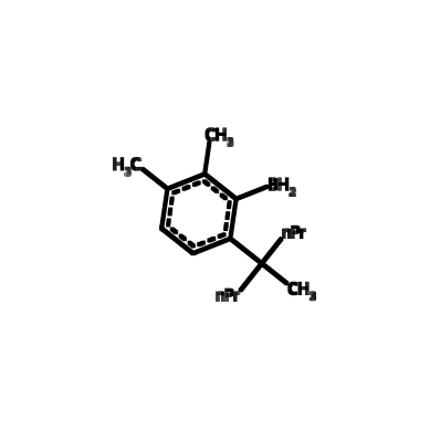 Bc1c(C(C)(CCC)CCC)ccc(C)c1C